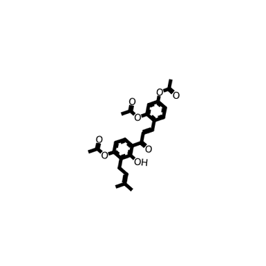 CC(=O)Oc1ccc(/C=C/C(=O)c2ccc(OC(C)=O)c(CC=C(C)C)c2O)c(OC(C)=O)c1